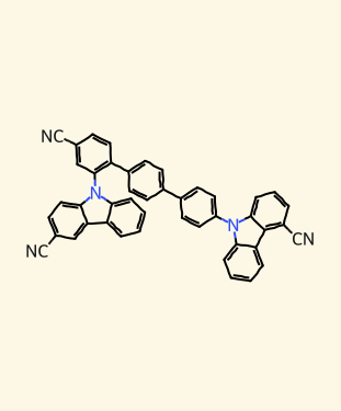 N#Cc1ccc(-c2ccc(-c3ccc(-n4c5ccccc5c5c(C#N)cccc54)cc3)cc2)c(-n2c3ccccc3c3cc(C#N)ccc32)c1